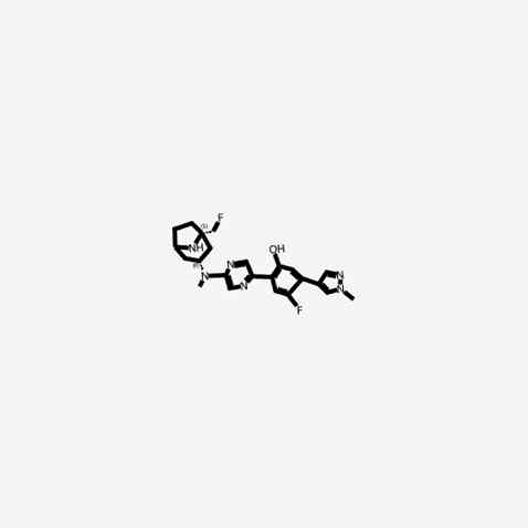 CN(c1cnc(-c2cc(F)c(-c3cnn(C)c3)cc2O)cn1)[C@@H]1CC2CC[C@@](CF)(C1)N2